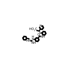 N=C(NCc1ccccc1)Nc1cccc(C(=O)Nc2ccccc2SC(CC(=O)O)c2cccnc2)c1